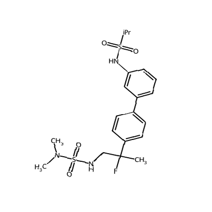 CC(C)S(=O)(=O)Nc1cccc(-c2ccc(C(C)(F)CNS(=O)(=O)N(C)C)cc2)c1